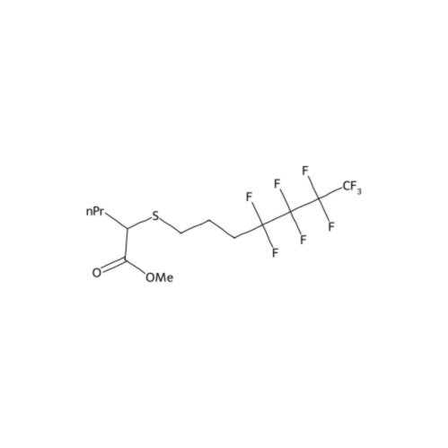 CCCC(SCCCC(F)(F)C(F)(F)C(F)(F)C(F)(F)F)C(=O)OC